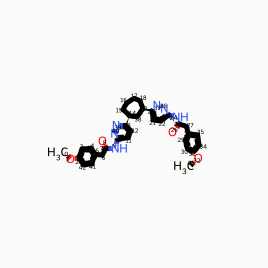 COc1ccc(CC(=O)Nc2ccc([C@@H]3CCCC[C@@H](c4ccc(NC(=O)Cc5ccc(OC)cc5)nn4)C3)nn2)cc1